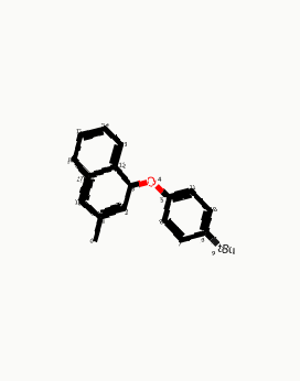 CC1=CC(Oc2ccc(C(C)(C)C)cc2)C2=CC=CCC2=C1